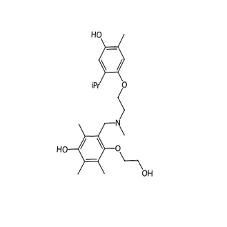 Cc1cc(OCCN(C)Cc2c(C)c(O)c(C)c(C)c2OCCO)c(C(C)C)cc1O